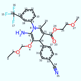 CCOCOC1=C(N)N(c2cccc(C(F)(F)F)c2)C(C)=C(C(=O)OCCOC)C1c1ccc(C#N)cc1